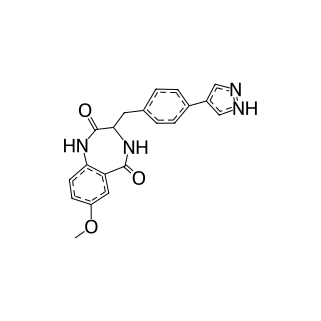 COc1ccc2c(c1)C(=O)NC(Cc1ccc(-c3cn[nH]c3)cc1)C(=O)N2